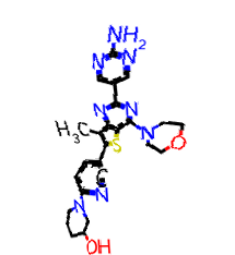 Cc1c(-c2ccc(N3CCCC(O)C3)nc2)sc2c(N3CCOCC3)nc(-c3cnc(N)nc3)nc12